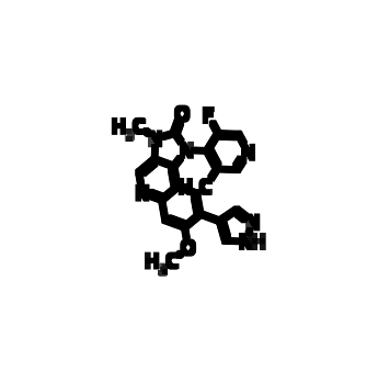 COc1cc2ncc3c(c2cc1-c1cn[nH]c1)n(-c1c(C)cncc1F)c(=O)n3C